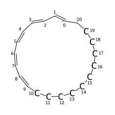 [C]1=C/C=C/C=C\C=C/C=C\CCCCCCCCCCC/1